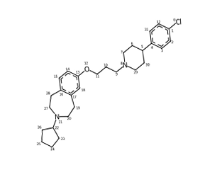 Clc1ccc(C2CCN(CCCOc3ccc4c(c3)CCN(C3CCCC3)CC4)CC2)cc1